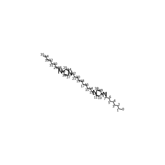 CCCCCCCCN=c1ccn(CCCCCCCCCCn2ccc(=NCCCCCCCC)cc2)cc1